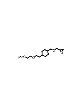 COCCOCCC1CCC(COCC2CO2)CC1